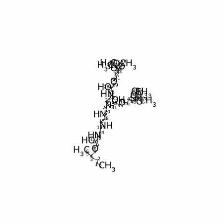 CCCCC(CC)COCC(O)CNCCNCCNCCN(CCNCC(O)COCCC[Si](OC)(OC)OC)CC(O)COCCC[Si](OC)(OC)OC